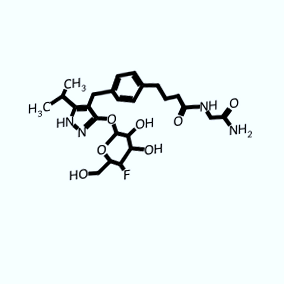 CC(C)c1[nH]nc(OC2OC(CO)C(F)C(O)C2O)c1Cc1ccc(CCCC(=O)NCC(N)=O)cc1